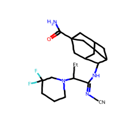 CCC(/C(=N/C#N)NC1C2CC3CC1CC(C(N)=O)(C3)C2)N1CCCC(F)(F)C1